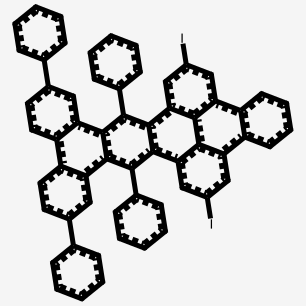 Ic1cc2c3ccccc3c3cc(I)cc4c5c(-c6ccccc6)c6c7cc(-c8ccccc8)ccc7c7ccc(-c8ccccc8)cc7c6c(-c6ccccc6)c5c(c1)c2c34